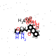 CC1(C(N)CCc2ccc(O)c3c2C(=O)c2ccccc2C3=O)CNCCO1.COS(=O)(=O)O